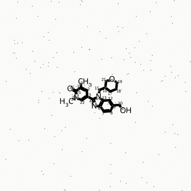 Cc1cc(-c2nc3ccc(CO)cc3n2CC2CCCOC2)cn(C)c1=O